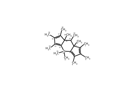 CC1=C(C)C2(C)[C](=C1C)[Ti]([CH3])([CH3])[C]1=C(C)C(C)=C(C)C1(C)C2C